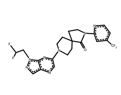 O=C1N(c2cc(C(F)(F)F)ccn2)CCC12CCN(c1cnc3cnn(CC(F)F)c3n1)CC2